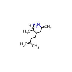 C=C(C)CCC(CC(=C)N)C(C)C